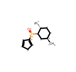 CC(C)[C@@H]1CC[C@@H](C)C[C@H]1[PH](=O)C1=CCC=C1